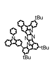 CC(C)(C)c1ccc2c(c1)c1c3ccccc3cc3c4nc5c(nc4n2c31)c1cc(C(C)(C)C)cc2c3cc(C(C)(C)C)cc(-c4ccc6c(c4)c4ccccc4n6-c4ccccc4)c3n5c21